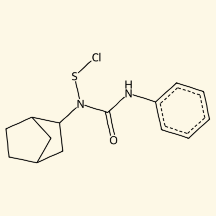 O=C(Nc1ccccc1)N(SCl)C1CC2CCC1C2